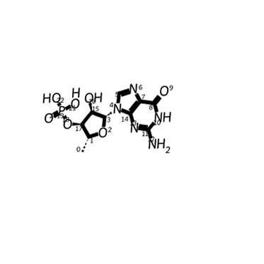 C[C@H]1O[C@@H](n2cnc3c(=O)[nH]c(N)nc32)[C@H](O)[C@@H]1OP(=O)(O)O